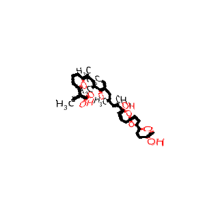 CCC(CC(C)CC(C)C1(O)C=CCC2(CCC(C3CCC(O)CO3)O2)O1)C(=O)C(C)CC(C)C1CCCC(C(CC)C(=O)O)O1